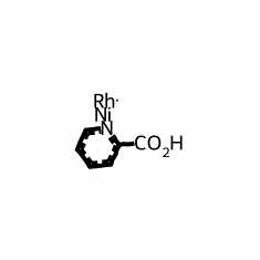 O=C(O)c1ccccn1.[Ni].[Rh]